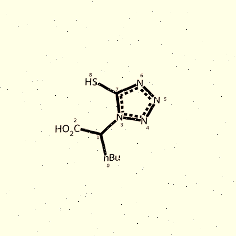 CCCCC(C(=O)O)n1nnnc1S